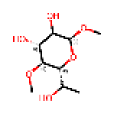 CO[C@H]1O[C@H](C(C)O)[C@@H](OC)[C@H](O)C1O